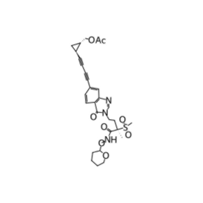 CC(=O)OC[C@H]1C[C@@H]1C#CC#Cc1ccc2c(=O)n(CC[C@](C)(C(=O)NOC3CCCCO3)S(C)(=O)=O)cnc2c1